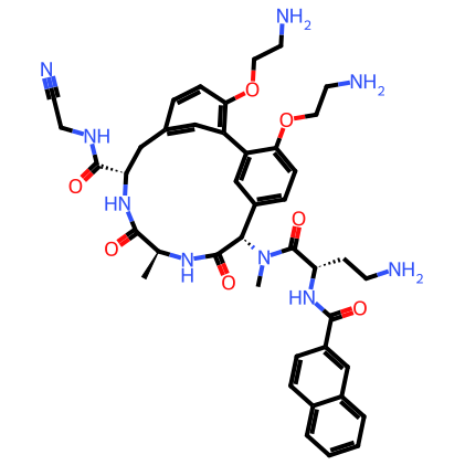 C[C@@H]1NC(=O)[C@@H](N(C)C(=O)[C@H](CCN)NC(=O)c2ccc3ccccc3c2)c2ccc(OCCN)c(c2)-c2cc(ccc2OCCN)C[C@@H](C(=O)NCC#N)NC1=O